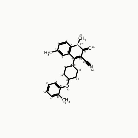 Cc1ccc2c(c1)c(N1CCC(Oc3ccccc3C)CC1)c(C#N)c(=O)n2C